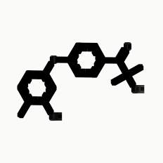 Cc1ccc(Oc2ccc(C(=O)C(C)(C)O)cc2)cc1O